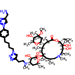 CC[C@H]1OC(=O)[C@H](C)C([C@H]2C[C@@](C)(OC)[C@@H](O)[C@H](C)O2)[C@H](C)[C@@H](O[C@@H]2O[C@H](C)C[C@H](N(C)CCc3cn(CCCCc4ccc(-n5cc(CN)nn5)cc4)nn3)[C@H]2O)[C@](C)(O)C[C@@H](C)CN(C)[C@H](C)[C@@H](O)[C@]1(C)O